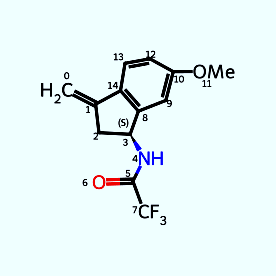 C=C1C[C@H](NC(=O)C(F)(F)F)c2cc(OC)ccc21